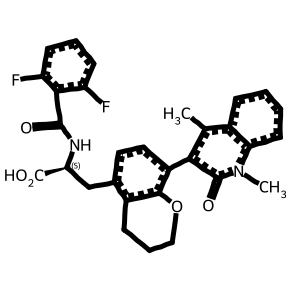 Cc1c(-c2ccc(C[C@H](NC(=O)c3c(F)cccc3F)C(=O)O)c3c2OCCC3)c(=O)n(C)c2ccccc12